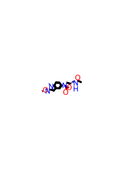 CON=C1Cc2cc(N3C[C@H](CNC(C)=O)OC3=O)ccc2N1C